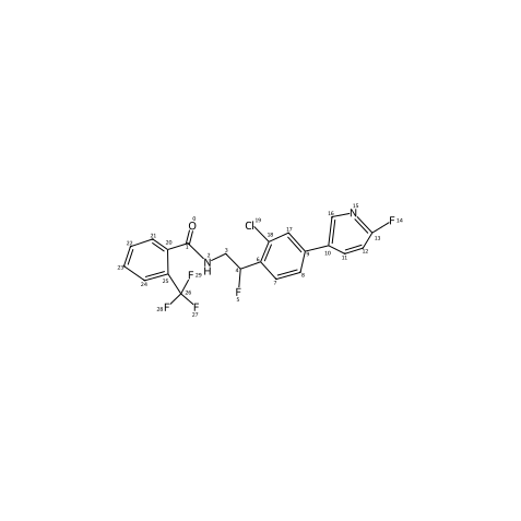 O=C(NCC(F)c1ccc(-c2ccc(F)nc2)cc1Cl)c1ccccc1C(F)(F)F